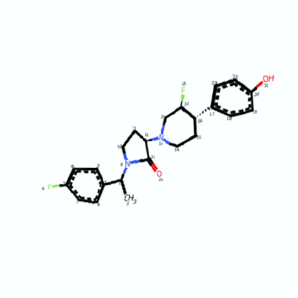 CC(c1ccc(F)cc1)N1CC[C@@H](N2CC[C@@H](c3ccc(O)cc3)[C@H](F)C2)C1=O